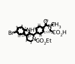 CCOC(=O)N1CCc2c([nH]c3ccc(Br)cc23)C1c1ccc(C(=O)N(C)CC(=O)O)cc1